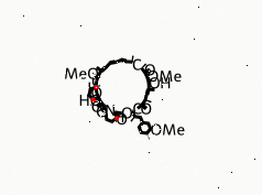 CO[C@H]1C[C@@H]2CC[C@@H](C)[C@@](O)(O2)C(=O)C(=O)N2CCCC[C@H]2C(=O)OC([C@H](C)CC2CC[C@@H](C)[C@H](OC)C2)CC(=O)[C@H](C)/C=C(\C)[C@@H](O)[C@@H](OC)C(=O)[C@H](C)C[C@H](C)/C=C/C=C/C=C/1C